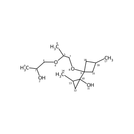 CC(O)COC(C)COC1(C2(O)CC2C)CC(C)C1